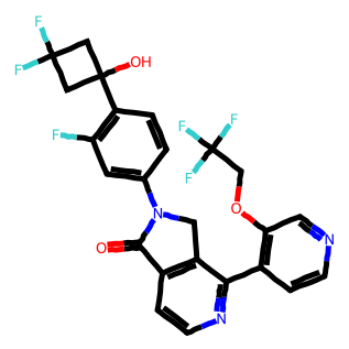 O=C1c2ccnc(-c3ccncc3OCC(F)(F)F)c2CN1c1ccc(C2(O)CC(F)(F)C2)c(F)c1